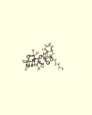 CCCCCO[C@@H]1Cc2ccccc2C1NC(=O)[C@@H]1CCCN1C(=O)[C@@H](NC(=O)[C@H](C)NC)C(C)(C)C